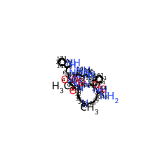 C[C@H](NC(=O)[C@@H](Cc1c[nH]c2ccccc12)NC(=O)[C@@H](N)Cc1cnc[nH]1)C(=O)NN1CC#CCN(C)CCCCC(C(N)=O)NC(=O)[C@@H](Cc2ccccc2)NC1=O